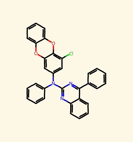 Clc1cc(N(c2ccccc2)c2nc(-c3ccccc3)c3ccccc3n2)cc2c1Oc1ccccc1O2